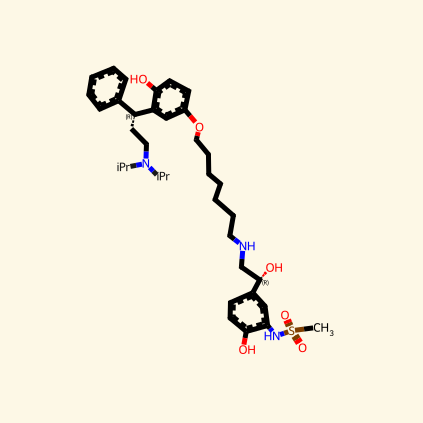 CC(C)N(CC[C@H](c1ccccc1)c1cc(OCCCCCCCNC[C@H](O)c2ccc(O)c(NS(C)(=O)=O)c2)ccc1O)C(C)C